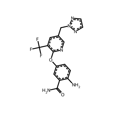 NC(=O)c1cc(Oc2ncc(Cn3nccn3)cc2C(F)(F)F)ccc1N